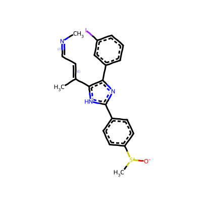 C/N=C\C=C(/C)c1[nH]c(-c2ccc([S+](C)[O-])cc2)nc1-c1cccc(I)c1